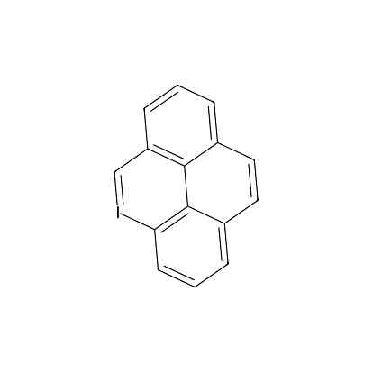 C1=Ic2cccc3ccc4cccc1c4c23